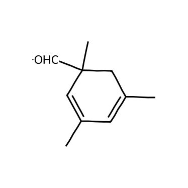 CC1=CC(C)([C]=O)CC(C)=C1